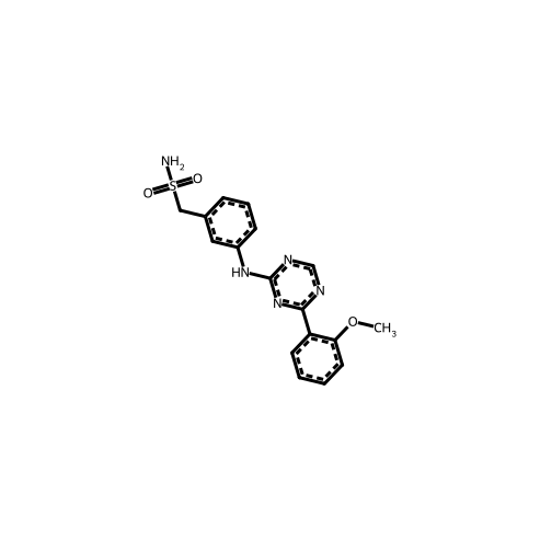 COc1ccccc1-c1ncnc(Nc2cccc(CS(N)(=O)=O)c2)n1